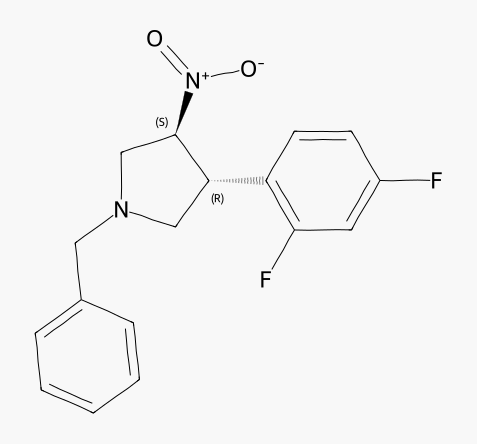 O=[N+]([O-])[C@@H]1CN(Cc2ccccc2)C[C@H]1c1ccc(F)cc1F